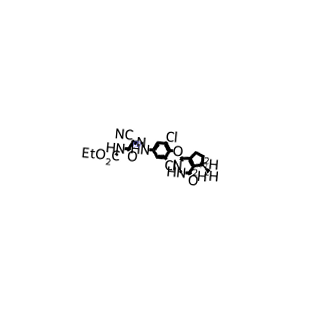 [2H]C([2H])([2H])[C@@H]1CCc2c(Oc3c(Cl)cc(N/N=C(/C#N)C(=O)NC(=O)OCC)cc3Cl)n[nH]c(=O)c21